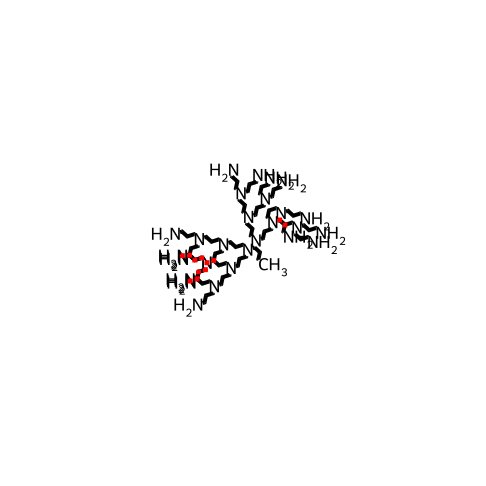 CCCC(N(CCCN(CCCN(CCCN)CCCN)CCCN(CCCN)CCCN)CCCN(CCCN(CCCN)CCCN)CCCN(CCCN)CCCN)N(CCCN(CCCN(CCCN)CCCN)CCCN(CCCN)CCCN)CCCN(CCCN(CCCN)CCCN)CCCN(CCCN)CCCN